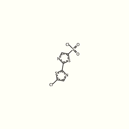 O=S(=O)(Cl)c1cnc(-c2ncc(Cl)s2)s1